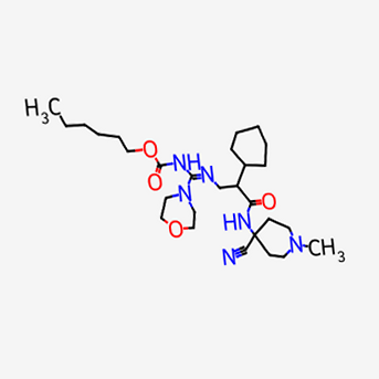 CCCCCCOC(=O)NC(=NCC(C(=O)NC1(C#N)CCN(C)CC1)C1CCCCC1)N1CCOCC1